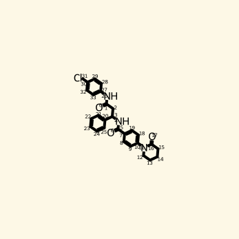 O=C(CC(NC(=O)c1ccc(N2CCCCC2=O)cc1)c1ccccc1)Nc1ccc(Cl)cc1